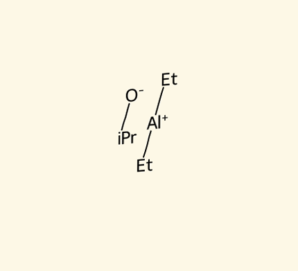 CC(C)[O-].C[CH2][Al+][CH2]C